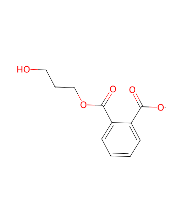 [O]C(=O)c1ccccc1C(=O)OCCCO